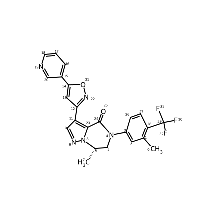 Cc1cc(N2C[C@H](C)n3ncc(-c4cc(-c5cccnc5)on4)c3C2=O)ccc1C(F)(F)F